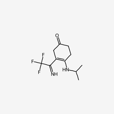 CC(C)NC1=C(C(=N)C(F)(F)F)CC(=O)CC1